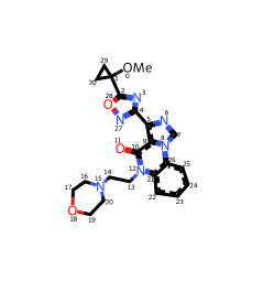 COC1(c2nc(-c3ncn4c3c(=O)n(CCN3CCOCC3)c3ccccc34)no2)CC1